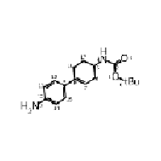 CC(C)(C)OC(=O)NC1CC=C(c2ccc(N)cc2)CC1